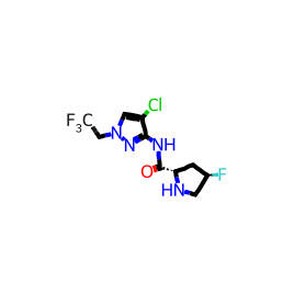 O=C(Nc1nn(CC(F)(F)F)cc1Cl)[C@@H]1C[C@@H](F)CN1